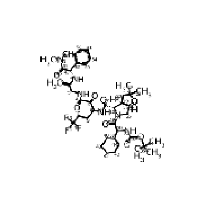 C=C(CNC(=O)C(=O)C(CCC(F)(F)F)NC(=O)[C@@H]1[C@H]2CC(C)(C)O[C@H]2CN1C(=O)[C@@H](NC(=O)OC(C)(C)C)C1CCCCC1)N[C@H](C(=O)N(C)C)c1ccccc1